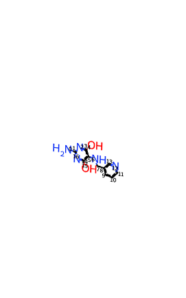 Nc1nc(O)c(NCc2cccnc2)c(O)n1